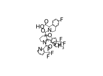 CCC[C@H]1N(C(=O)c2ncccc2C(F)(F)F)CCC[C@]1(Oc1csc(C(F)(F)F)c1)C(=O)N1CCc2cc(F)ccc2C1C(=O)O